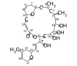 C=C1CC(C)CC2CC=CC(C/C=C\C(=O)OC(C(O)C=CC3CC(C)=CCO3)CC(O)C(O)C(O)C1)O2